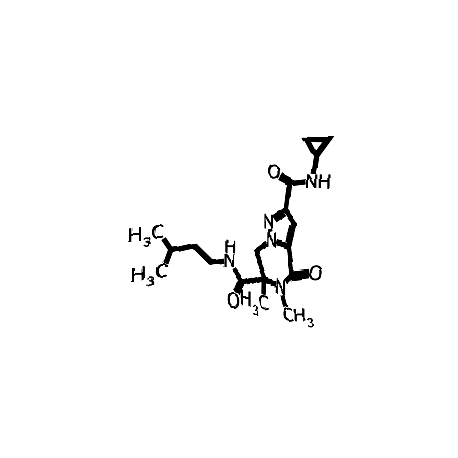 CC(C)CCNC(=O)C1(C)Cn2nc(C(=O)NC3CC3)cc2C(=O)N1C